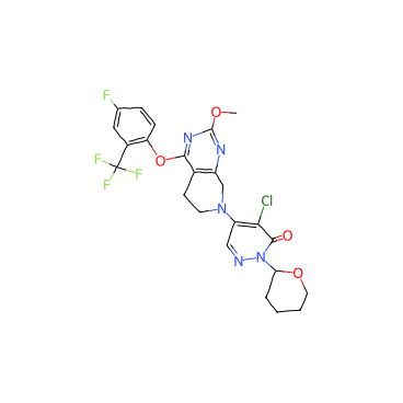 COc1nc2c(c(Oc3ccc(F)cc3C(F)(F)F)n1)CCN(c1cnn(C3CCCCO3)c(=O)c1Cl)C2